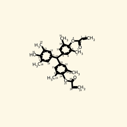 C=CC(=O)Oc1c(C)cc(C(c2cc(C)c(O)c(C)c2)c2cc(C)c(OC(=O)C=C)c(C)c2)cc1C